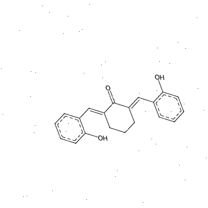 O=C1/C(=C/c2ccccc2O)CCC/C1=C\c1ccccc1O